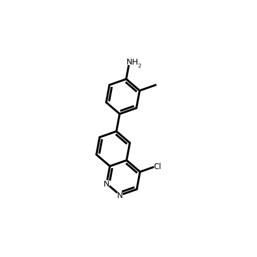 Cc1cc(-c2ccc3nncc(Cl)c3c2)ccc1N